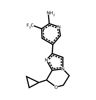 Nc1ncc(-c2cn3c(n2)C(C2CC2)OCC3)cc1C(F)(F)F